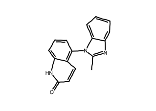 Cc1nc2ccccc2n1-c1cccc2[nH]c(=O)ccc12